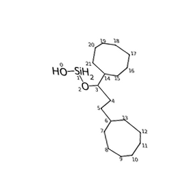 O[SiH2]OC(CCC1CCCCCCC1)C1CCCCCCC1